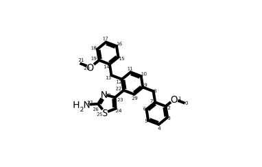 COc1ccccc1Cc1ccc(Cc2ccccc2OC)c(-c2csc(N)n2)c1